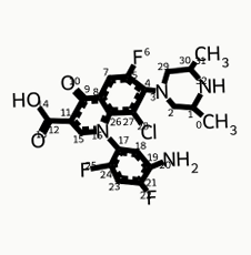 CC1CN(c2c(F)cc3c(=O)c(C(=O)O)cn(-c4cc(N)c(F)cc4F)c3c2Cl)CC(C)N1